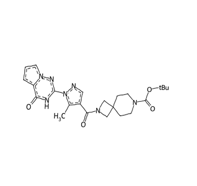 Cc1c(C(=O)N2CC3(CCN(C(=O)OC(C)(C)C)CC3)C2)cnn1-c1nn2cccc2c(=O)[nH]1